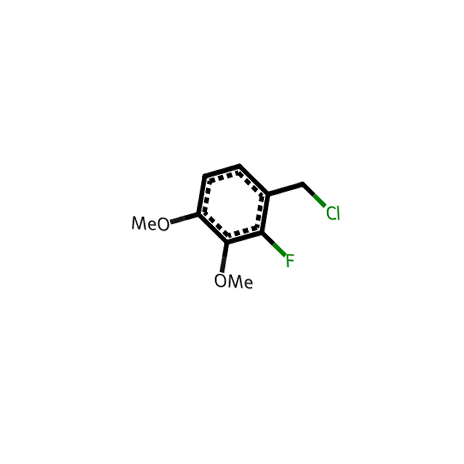 COc1ccc(CCl)c(F)c1OC